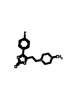 CN1CCN(CCc2oc(=O)oc2-c2ccc(F)cc2)CC1